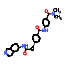 CN(C)C(=O)c1ccc(NC(=O)c2ccc([C@@H]3C=C3C(=O)Nc3ccc4cnccc4c3)cc2)cc1